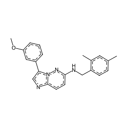 COc1cccc(-c2cnc3ccc(NCc4ccc(C)cc4C)nn23)c1